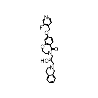 O=C1c2ccc(OCc3ccncc3F)cc2OCCN1C[C@H](O)CN1CCc2ccccc2C1